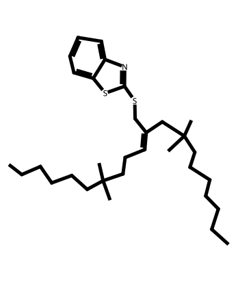 CCCCCCCC(C)(C)C/C(=C/CCC(C)(C)CCCCCC)CSc1nc2ccccc2s1